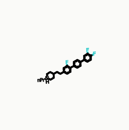 CCC[SiH]1CCC(CCc2ccc(-c3ccc(-c4ccc(F)c(F)c4)cc3)c(F)c2)CC1